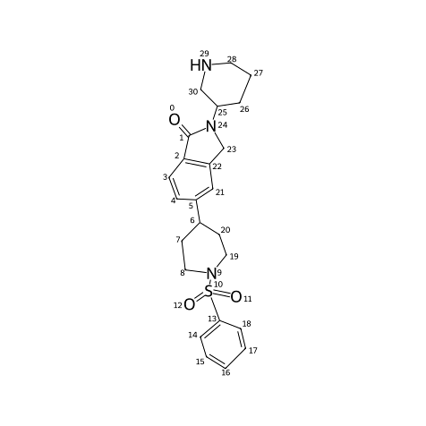 O=C1c2ccc(C3CCN(S(=O)(=O)c4ccccc4)CC3)cc2CN1C1CCCNC1